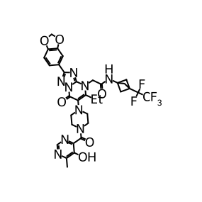 CCc1c(N2CCN(C(=O)c3ncnc(C)c3O)CC2)c(=O)n2nc(-c3ccc4c(c3)OCO4)nc2n1CC(=O)NC12CC(C(F)(F)C(F)(F)F)(C1)C2